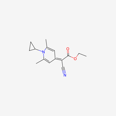 CCOC(=O)C(C#N)=C1C=C(C)N(C2CC2)C(C)=C1